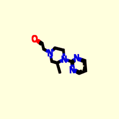 CC1CN(CC=O)CCN1c1ncccn1